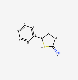 N=C1CCC(c2ccccc2)S1